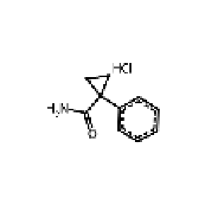 Cl.NC(=O)C1(c2ccccc2)CC1